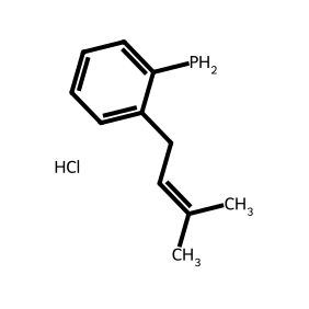 CC(C)=CCc1ccccc1P.Cl